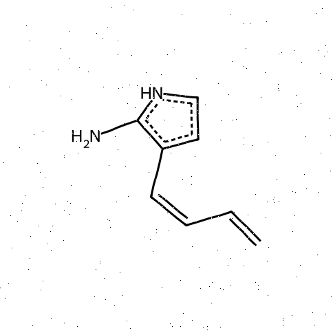 C=C/C=C\c1cc[nH]c1N